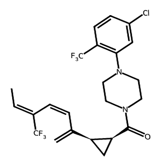 C=C(/C=C\C(=C/C)C(F)(F)F)[C@@H]1C[C@@H]1C(=O)N1CCN(c2cc(Cl)ccc2C(F)(F)F)CC1